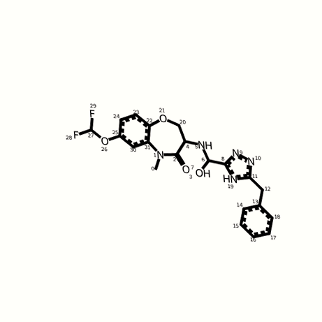 CN1C(=O)C(NC(O)c2nnc(Cc3ccccc3)[nH]2)COc2ccc(OC(F)F)cc21